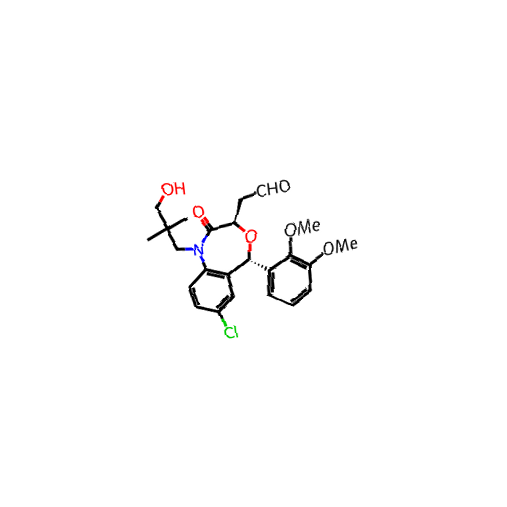 COc1cccc([C@H]2O[C@H](CC=O)C(=O)N(CC(C)(C)CO)c3ccc(Cl)cc32)c1OC